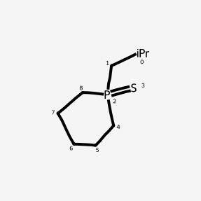 CC(C)CP1(=S)CCCCC1